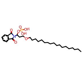 CCCCCCCCCCCCCCCCCCOCCC(OP(=O)(O)O)N1C(=O)c2ccccc2C1=O